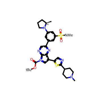 CNS(=O)(=O)c1cc(-c2cnc3c(n2)c(-c2cnc(C4CCN(C)CC4)s2)cn3C(=O)OC(C)(C)C)cc(N2CCC[C@H]2C)c1